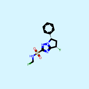 O=S(=O)(NCF)c1nc2n(n1)[C@H](c1ccccc1)C[C@@H]2F